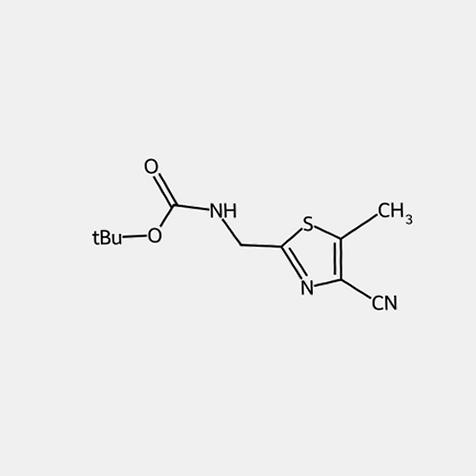 Cc1sc(CNC(=O)OC(C)(C)C)nc1C#N